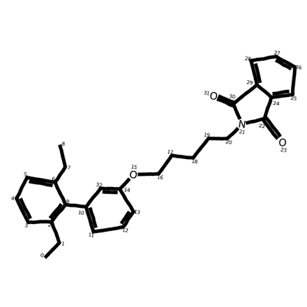 CCc1cccc(CC)c1-c1cccc(OCCCCCN2C(=O)c3ccccc3C2=O)c1